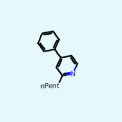 CCCCCc1cc(-c2ccccc2)ccn1